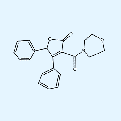 O=C1OC(c2ccccc2)C(c2ccccc2)=C1C(=O)N1CCOCC1